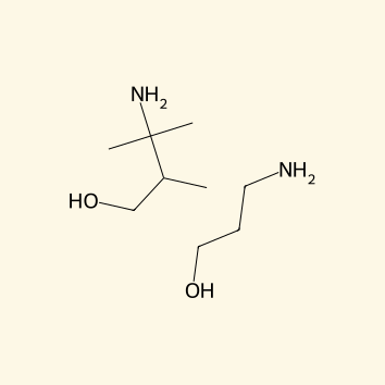 CC(CO)C(C)(C)N.NCCCO